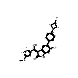 COc1cc(/C(O)=C2\C(=O)Nc3cc(Cl)c(-c4ccc(N5CC(F)C5)cc4)cc32)on1